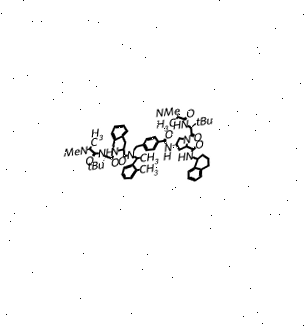 CN[C@@H](C)C(=O)N[C@H](C(=O)N1C[C@@H](NC(=O)c2ccc(CN(C(=O)C3Cc4ccccc4CN3C(=O)[C@@H](NC(=O)[C@H](C)NC)C(C)(C)C)C(C)c3ccccc3C)cc2)CC1C(=O)NC1CCCc2ccccc21)C(C)(C)C